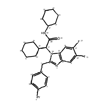 CC(C)c1ccc(Cc2nc3cc(F)c(F)cc3n2C(C(=O)NC2CCCCC2)C2CCCCC2)cc1